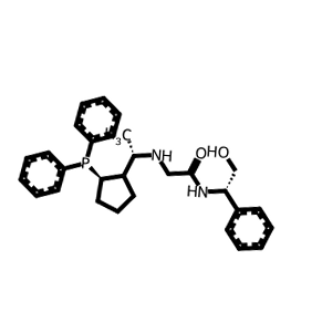 C[C@H](NCC(=O)N[C@H](CO)c1ccccc1)C1CCC[C@H]1P(c1ccccc1)c1ccccc1